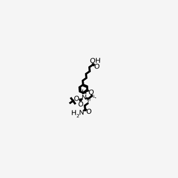 C[C@@H](Oc1cccc(CCCCCC(=O)O)c1)[C@H](CCC(N)=O)NC(=O)OC(C)(C)C